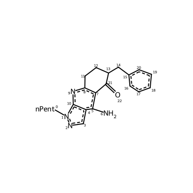 CCCCCn1ncc2c(N)c3c(nc21)CCC(Cc1ccccc1)C3=O